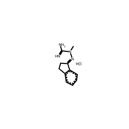 CN(N=C1CCc2ccccc21)C(=N)N.Cl